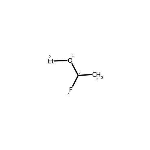 C[CH]OC(C)F